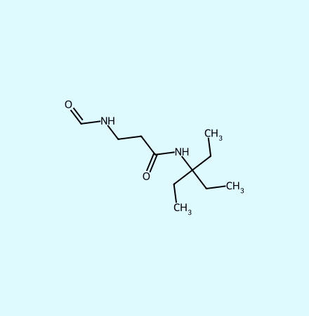 CCC(CC)(CC)NC(=O)CCNC=O